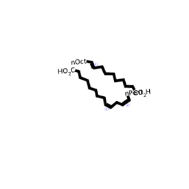 CCCCC/C=C\C/C=C\CCCCCCCC(=O)O.CCCCCCCC/C=C/CCCCCCCC(=O)O